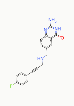 Nc1nc2ccc(CNCC#Cc3ccc(F)cc3)cc2c(=O)[nH]1